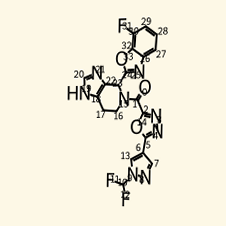 O=C(c1nnc(-c2cnn(C(F)F)c2)o1)N1CCc2[nH]cnc2[C@H]1c1nc2cccc(F)c2o1